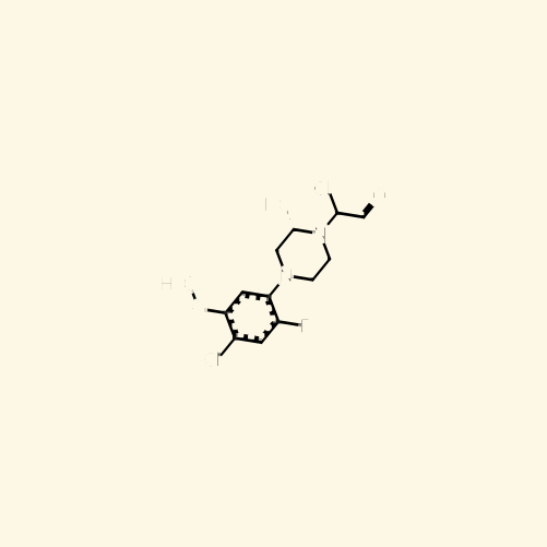 COc1cc(N2CCN(C(Cl)C=O)[C@@H](C)C2)c(F)cc1Cl